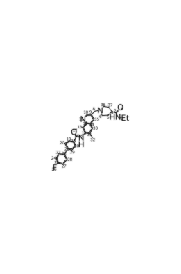 CCNC(=O)C1CCN(Cc2cnc3cc(NC(=O)c4ccc(-c5ccc(F)cc5)cc4)c(C)cc3c2)CC1